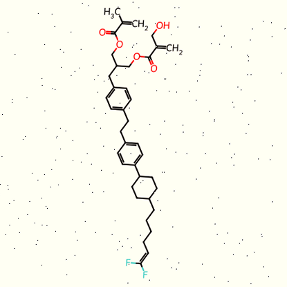 C=C(C)C(=O)OCC(COC(=O)C(=C)CO)Cc1ccc(CCc2ccc(C3CCC(CCCCC=C(F)F)CC3)cc2)cc1